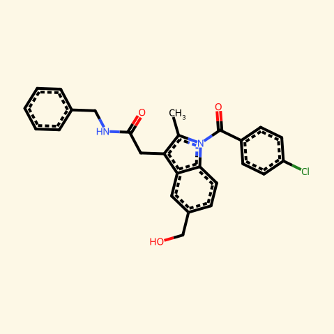 Cc1c(CC(=O)NCc2ccccc2)c2cc(CO)ccc2n1C(=O)c1ccc(Cl)cc1